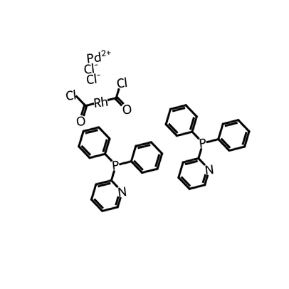 O=[C](Cl)[Rh][C](=O)Cl.[Cl-].[Cl-].[Pd+2].c1ccc(P(c2ccccc2)c2ccccn2)cc1.c1ccc(P(c2ccccc2)c2ccccn2)cc1